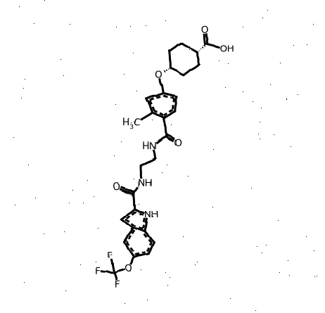 Cc1cc(O[C@H]2CC[C@@H](C(=O)O)CC2)ccc1C(=O)NCCNC(=O)c1cc2cc(OC(F)(F)F)ccc2[nH]1